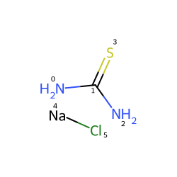 NC(N)=S.[Na][Cl]